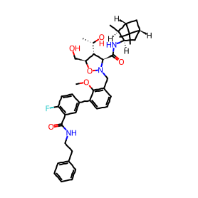 COc1c(CN2O[C@@H](CO)[C@H]([C@H](C)O)[C@H]2C(=O)N[C@@H]2C[C@H]3C[C@@H]([C@@H]2C)C3(C)C)cccc1-c1ccc(F)c(C(=O)NCCc2ccccc2)c1